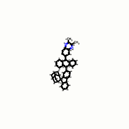 Cc1nc2ccc(-c3c4ccccc4c(-c4ccc5c(c4)C4(c6ccccc6-5)C5CC6CC(C5)CC4C6)c4ccccc34)cc2nc1C